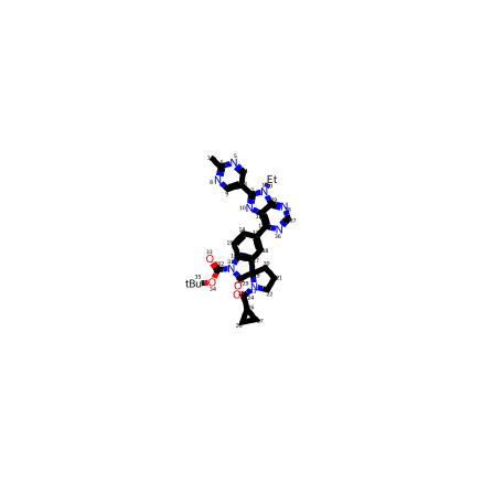 CCn1c(-c2cnc(C)nc2)nc2c(-c3ccc4c(c3)C3(CCCN3C(=O)C3CC3)C(=O)N4C(=O)OC(C)(C)C)ncnc21